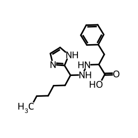 CCCCCC(NNC(Cc1ccccc1)C(=O)O)c1ncc[nH]1